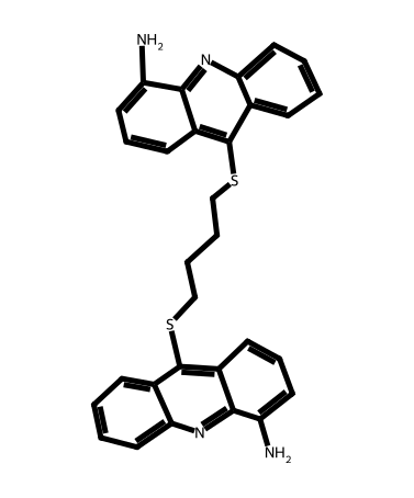 Nc1cccc2c(SCCCCSc3c4ccccc4nc4c(N)cccc34)c3ccccc3nc12